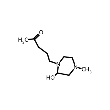 CC(=O)CCCN1CCN(C)CC1O